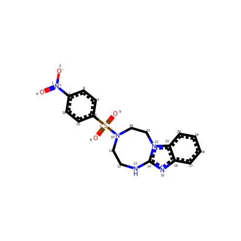 O=[N+]([O-])c1ccc(S(=O)(=O)N2CCNc3nc4ccccc4n3CC2)cc1